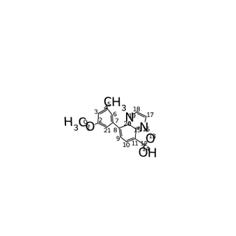 COc1cc(C)cc(-c2ccc(C(=O)O)c3nccnc23)c1